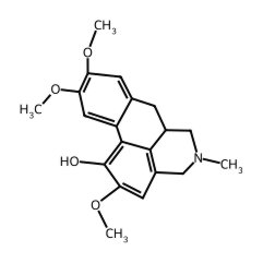 COc1cc2c(cc1OC)-c1c(O)c(OC)cc3c1C(C2)CN(C)C3